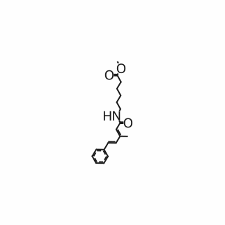 COC(=O)CCCCCNC(=O)C=C(C)C=Cc1ccccc1